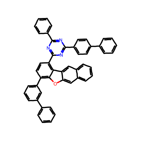 c1ccc(-c2ccc(-c3nc(-c4ccccc4)nc(-c4ccc(-c5cccc(-c6ccccc6)c5)c5oc6cc7ccccc7cc6c45)n3)cc2)cc1